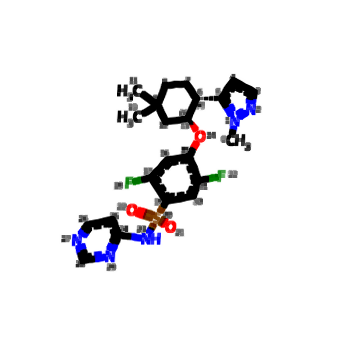 Cn1nccc1[C@H]1CCC(C)(C)C[C@@H]1Oc1cc(F)c(S(=O)(=O)Nc2ccncn2)cc1F